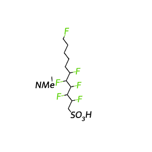 CNC.O=S(=O)(O)CC(F)C(F)C(F)C(F)C(F)CCCCCF